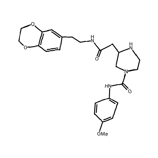 COc1ccc(NC(=O)N2CCNC(CC(=O)NCCc3ccc4c(c3)OCCO4)C2)cc1